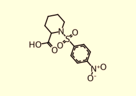 O=C(O)C1CCCCN1S(=O)(=O)c1ccc([N+](=O)[O-])cc1